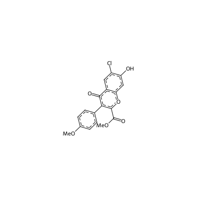 COC(=O)c1oc2cc(O)c(Cl)cc2c(=O)c1-c1ccc(OC)cc1